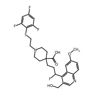 COc1ccc2ncc(CO)c(C(F)CCC3(C(=O)O)CCN(CCSc4c(F)cc(F)cc4F)CC3)c2c1